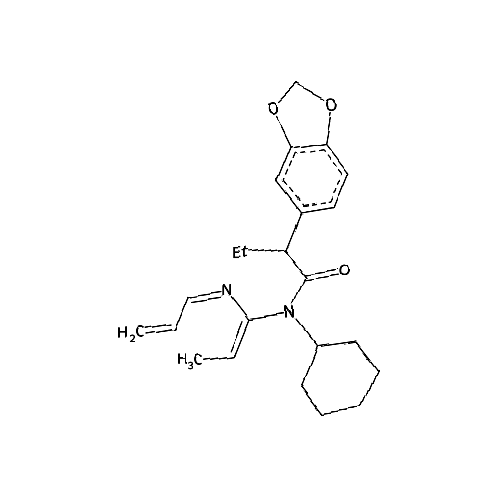 C=C/C=N\C(=C/C)N(C(=O)C(CC)c1ccc2c(c1)OCO2)C1CCCCC1